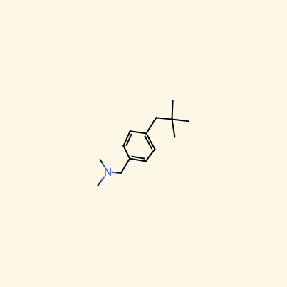 CN(C)Cc1ccc(CC(C)(C)C)cc1